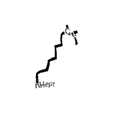 [CH2]CCCCCCCCCCCC[CH2][Ge]([CH3])([CH3])[CH3]